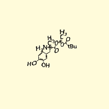 C[C@H](OC(=O)C(C)(C)C)OC(=O)[C@@](C)(N)Cc1ccc(O)c(O)c1